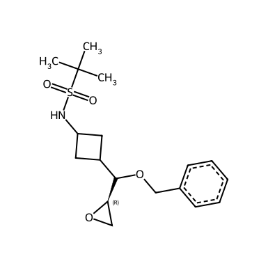 CC(C)(C)S(=O)(=O)NC1CC(C(OCc2ccccc2)[C@H]2CO2)C1